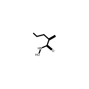 C=C(CCC)C(=O)NO